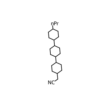 CCCC1CCC(C2CCC(C3CCC(CC#N)CC3)CC2)CC1